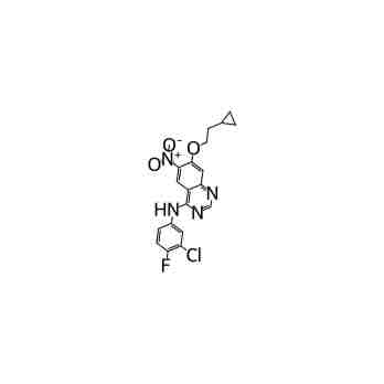 O=[N+]([O-])c1cc2c(Nc3ccc(F)c(Cl)c3)ncnc2cc1OCCC1CC1